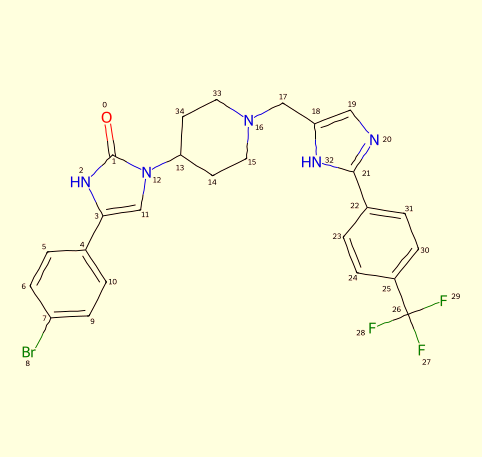 O=c1[nH]c(-c2ccc(Br)cc2)cn1C1CCN(Cc2cnc(-c3ccc(C(F)(F)F)cc3)[nH]2)CC1